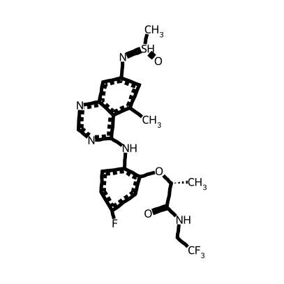 Cc1cc(/N=[SH](/C)=O)cc2ncnc(Nc3ccc(F)cc3O[C@H](C)C(=O)NCC(F)(F)F)c12